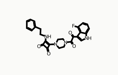 O=C(C(=O)N1CCN(c2c(NCCc3ccccc3)c(=O)c2=O)CC1)c1c[nH]c2cccc(F)c12